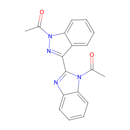 CC(=O)n1nc(-c2nc3ccccc3n2C(C)=O)c2ccccc21